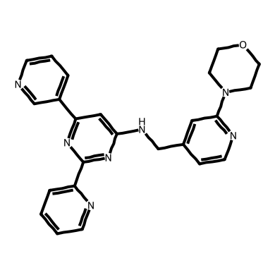 c1ccc(-c2nc(NCc3ccnc(N4CCOCC4)c3)cc(-c3cccnc3)n2)nc1